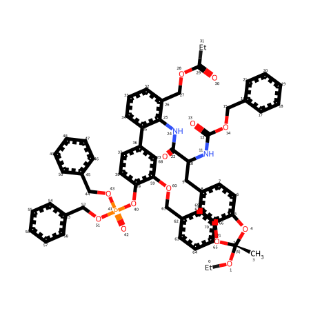 CCO[C@@]1(C)Oc2ccc(CC(NC(=O)OCc3ccccc3)C(=O)Nc3c(COC(=O)CC)cccc3-c3ccc(OP(=O)(OCc4ccccc4)OCc4ccccc4)c(OCc4ccccc4)c3)cc2O1